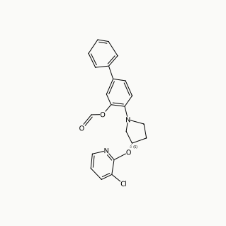 O=COc1cc(-c2ccccc2)ccc1N1CC[C@H](Oc2ncccc2Cl)C1